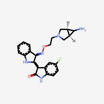 NC1[C@H]2CN(CCO/N=C3/C(=C4/C(=O)Nc5ccc(F)cc54)Nc4ccccc43)C[C@@H]12